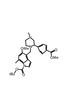 COC(=O)c1ccc(C2CN(C)CCN2Cc2c(OC)cc(C)c3c2ccn3C(=O)OC(C)(C)C)cc1